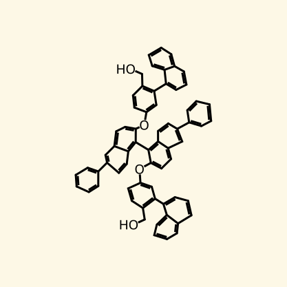 OCc1ccc(Oc2ccc3cc(-c4ccccc4)ccc3c2-c2c(Oc3ccc(CO)c(-c4cccc5ccccc45)c3)ccc3cc(-c4ccccc4)ccc23)cc1-c1cccc2ccccc12